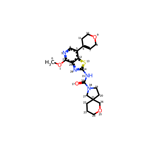 COc1ncc(C2=CCOCC2)c2sc(NC(=O)N3CCC4(CCCOC4)C3)nc12